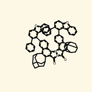 O=c1c2c3c(c4cc(-c5c(-c6ccccc6)ccc6oc7ccccc7c56)ccc4c2n2c4c(c5c(c6cc(-c7c(-c8ccccc8)ccc8oc9ccccc9c78)ccc64)C4CC6CC7CC5CC67C4)c(=O)n12)C1CC2CC(C1)CC3C2